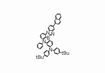 CC(C)(C)c1ccc(N(c2ccc(C(C)(C)C)cc2)c2ccc3c(c2)N(c2ccccc2)c2cccc4c2B3c2nc3cc(-c5ccc6ccccc6c5)ccc3n2-4)cc1